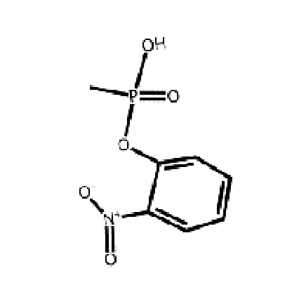 CP(=O)(O)Oc1ccccc1[N+](=O)[O-]